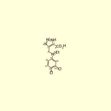 CCN(Cc1nn[nH]c1C(=O)O)c1ccc(Cl)c(Cl)c1